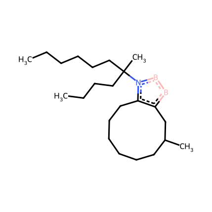 CCCCCCC(C)(CCCC)n1bbc2c1CCCCCCC(C)C2